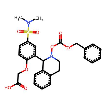 CN(C)S(=O)(=O)c1ccc(OCC(=O)O)c(C2c3ccccc3CCN2OC(=O)OCc2ccccc2)c1